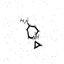 C1CC1.NC1CCNCC1